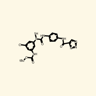 CC(C)(C)OC(=O)Nc1cc(Cl)cc(N(S)C(=O)Nc2ccc(NC(=O)c3csnn3)cc2)c1